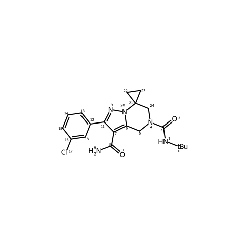 CC(C)(C)NC(=O)N1Cc2c(C(N)=O)c(-c3cccc(Cl)c3)nn2C2(CC2)C1